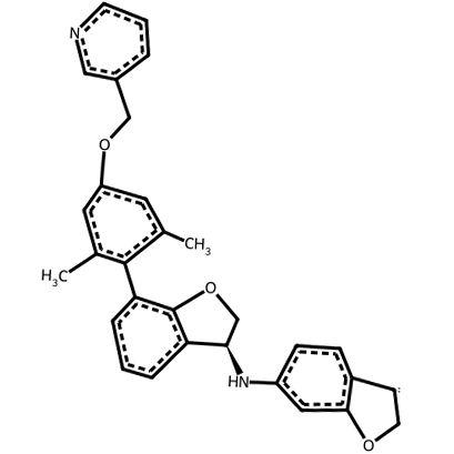 Cc1cc(OCc2cccnc2)cc(C)c1-c1cccc2c1OC[C@H]2Nc1ccc2c(c1)OC[C]2